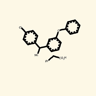 CC(C)CC(=O)O.N#CC(c1ccc(Cl)cc1)c1cccc(Oc2ccccc2)c1